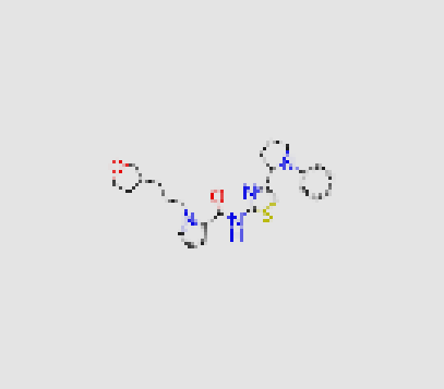 O=C(Nc1nc(C2CCCN2c2ccccc2)cs1)c1cccn1CCCC1CCOC1